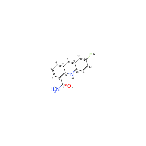 NC(=O)c1cccc2cc3cc(F)ccc3nc12